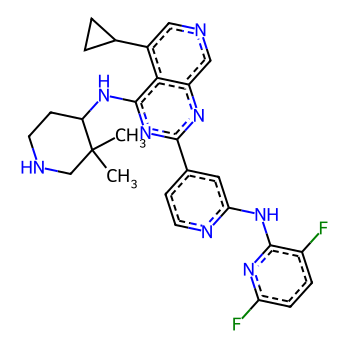 CC1(C)CNCCC1Nc1nc(-c2ccnc(Nc3nc(F)ccc3F)c2)nc2cncc(C3CC3)c12